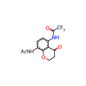 CC(=O)Nc1ccc(NC(=O)C(F)(F)F)c2c1OCCC2=O